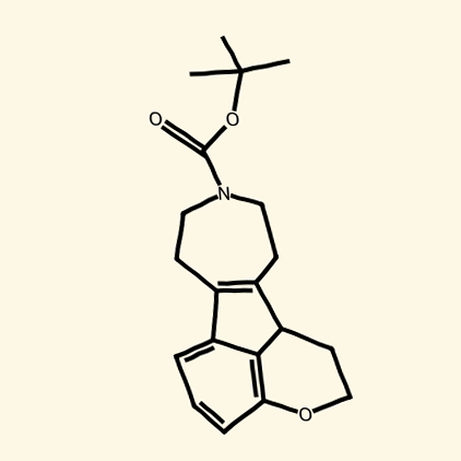 CC(C)(C)OC(=O)N1CCC2=C(CC1)C1CCOc3cccc2c31